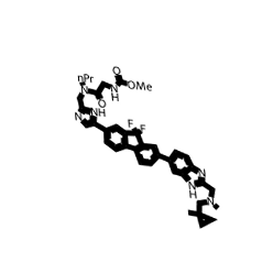 CCCN(Cc1ncc(-c2ccc3c(c2)C(F)(F)c2cc(-c4ccc5nc(CN(C)CC6(C)CC6)[nH]c5c4)ccc2-3)[nH]1)C(=O)CNC(=O)OC